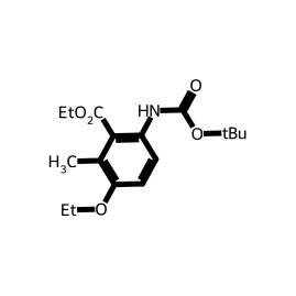 CCOC(=O)c1c(NC(=O)OC(C)(C)C)ccc(OCC)c1C